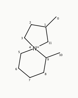 CC1CC[N+]2(CCCCC2C)C1